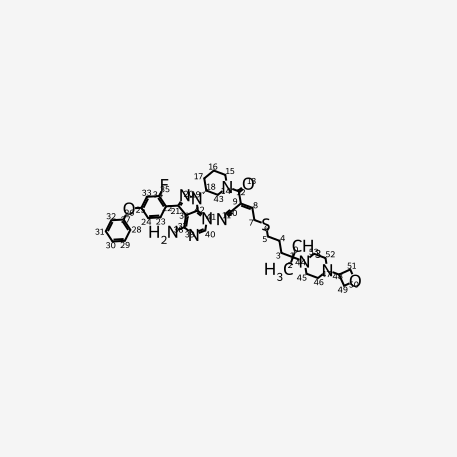 CC(C)(CCCSC/C=C(\C#N)C(=O)N1CCC[C@@H](n2nc(-c3ccc(Oc4ccccc4)cc3F)c3c(N)ncnc32)C1)N1CCN(C2COC2)CC1